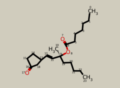 CCCCCCC(=O)O[C@](C)(C=CC1CCC(=O)C1)CCCCC